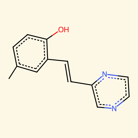 Cc1ccc(O)c(C=Cc2cnccn2)c1